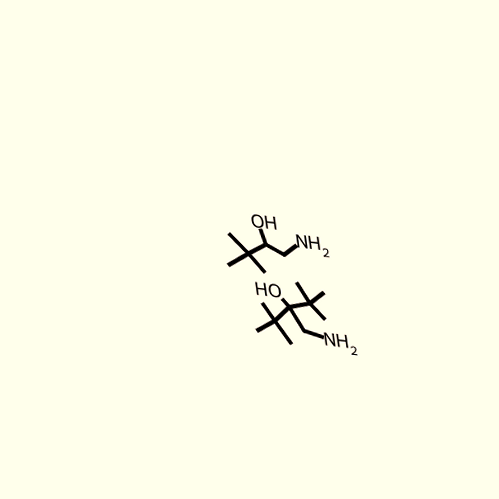 CC(C)(C)C(O)(CN)C(C)(C)C.CC(C)(C)C(O)CN